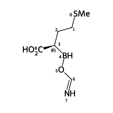 CSCC[C@@H](BOC=N)C(=O)O